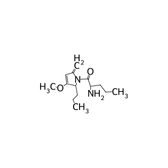 C=C1C=C(OC)C(CCC)N1C(=O)C(N)CCC